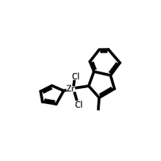 CC1=Cc2ccccc2[CH]1[Zr]([Cl])([Cl])[CH]1C=CC=C1